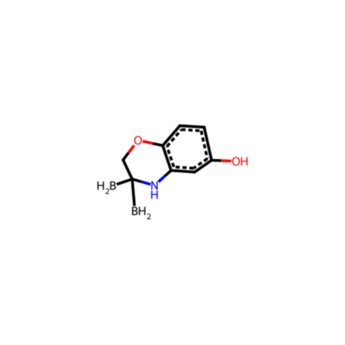 BC1(B)COc2ccc(O)cc2N1